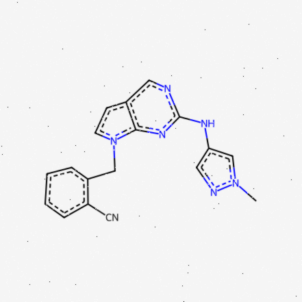 Cn1cc(Nc2ncc3ccn(Cc4ccccc4C#N)c3n2)cn1